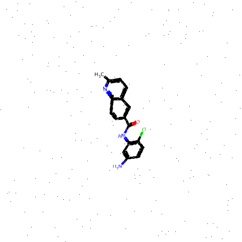 Cc1ccc2cc(C(=O)Nc3cc(N)ccc3Cl)ccc2n1